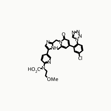 COCCN(C(=O)O)c1ccc(-c2cnc(Cn3c(C)cc(-c4cc(Cl)ccc4-n4cnnn4)cc3=O)[nH]2)cn1